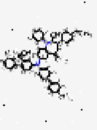 C=Cc1ccc(C2=CC(=C)c3cc(N(c4ccc(-c5ccc(C)cc5)cc4)c4ccc5c(c4)C(C)(C)c4ccccc4-5)ccc3N(c3ccccc3)C2C)cc1